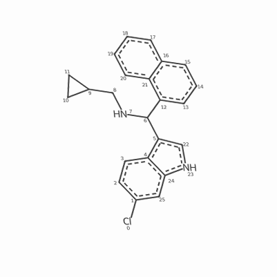 Clc1ccc2c(C(NCC3CC3)c3cccc4ccccc34)c[nH]c2c1